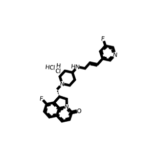 Cl.Cl.O=c1ccc2ccc(F)c3c2n1C[C@H]3CN1CCC(NCC=Cc2cncc(F)c2)CC1